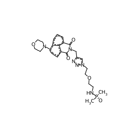 CP(C)(=O)NCCOCCn1cc(CN2C(=O)c3cccc4c(N5CCOCC5)ccc(c34)C2=O)nn1